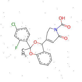 CC1(c2ccc(Cl)cc2F)Oc2ccccc2C(C2=CC(=O)N(C(=O)O)CC2)O1